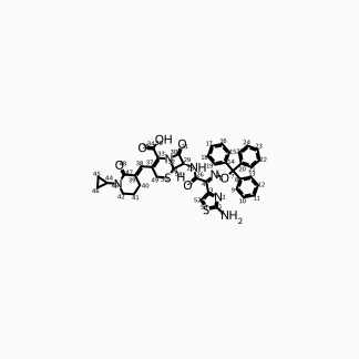 Nc1nc(C(=NOC(c2ccccc2)(c2ccccc2)c2ccccc2)C(=O)N[C@@H]2C(=O)N3C(C(=O)O)=C(C=C4CCCN(C5CC5)C4=O)CS[C@H]23)cs1